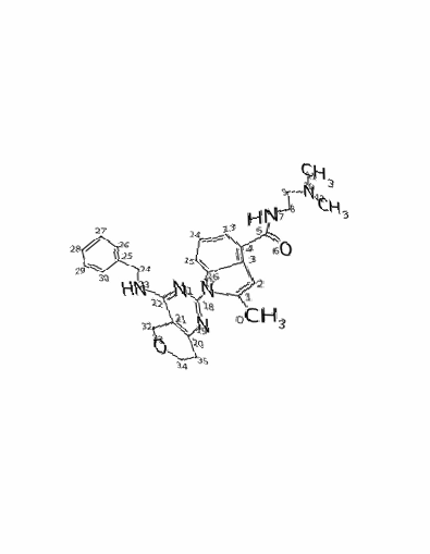 Cc1cc2c(C(=O)NCCN(C)C)cccc2n1-c1nc2c(c(NCc3ccccc3)n1)COCC2